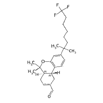 CC(C)(CCCCCC(F)(F)F)c1c[c]c2c(c1)OC(C)(C)[C@@H]1CC=C(C=O)C[C@@H]21